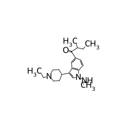 CCC(C)C(=O)c1ccc2c(c1)c(C1CCN(CC)CC1)cn2NC